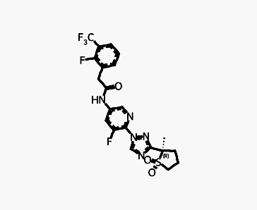 C[C@]1(c2ncn(-c3ncc(NC(=O)Cc4cccc(C(F)(F)F)c4F)cc3F)n2)CCCS1(=O)=O